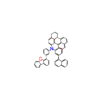 c1cc(-c2cccc3ccccc23)cc(N(c2cccc(-c3cccc4c3oc3ccccc34)c2)c2ccccc2-c2cccc3cccc(C4CCCCC4)c23)c1